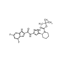 CC(C)(C)OC(=O)N1CCCC[C@H]1c1cc(NC(=O)c2cc3c(F)cc(F)cc3[nH]2)n[nH]1